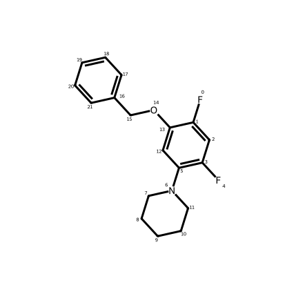 Fc1cc(F)c(N2CCCCC2)cc1OCc1ccccc1